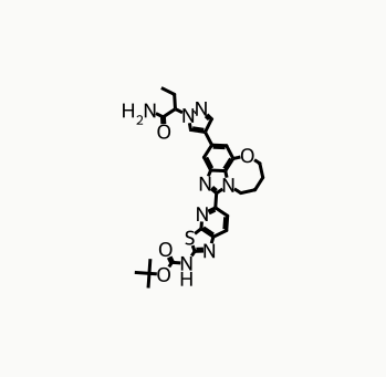 CCC(C(N)=O)n1cc(-c2cc3c4c(c2)nc(-c2ccc5nc(NC(=O)OC(C)(C)C)sc5n2)n4CCCCO3)cn1